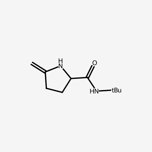 C=C1CCC(C(=O)NC(C)(C)C)N1